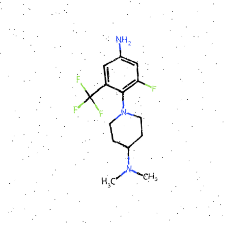 CN(C)C1CCN(c2c(F)cc(N)cc2C(F)(F)F)CC1